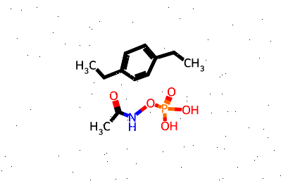 CC(=O)NOP(=O)(O)O.CCc1ccc(CC)cc1